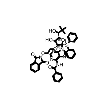 CC(C)(C)C(O)[C@H]1O[C@](n2cnc3c(NC(=O)c4ccccc4)ncnc32)([SiH](c2ccccc2)c2ccccc2)[C@H](OCCON2C(=O)c3ccccc3C2=O)[C@@H]1O